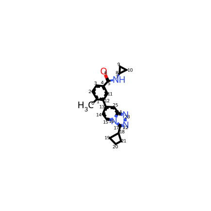 Cc1ccc(C(=O)NC2CC2)cc1-c1ccn2c(C3CCC3)nnc2c1